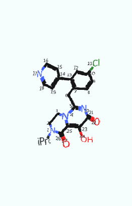 CC(C)N1CCn2c(Cc3ccc(Cl)cc3-c3ccncc3)nc(=O)c(O)c2C1=O